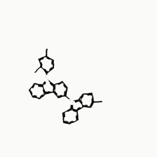 Cc1ccc(-n2c3ccccc3c3cc(-n4c5ccccc5c5cc(C)ccc54)ccc32)c(C)c1